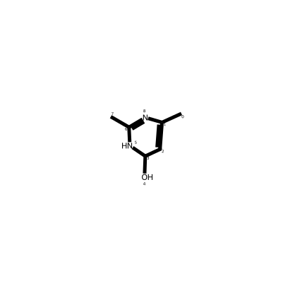 CC1=CC(O)NC(C)=N1